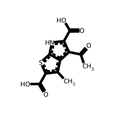 CC(=O)c1c(C(=O)O)[nH]c2sc(C(=O)O)c(C)c12